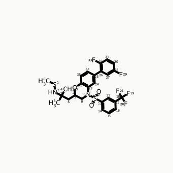 CSNC(C)(C)CC1CN(S(=O)(=O)c2cccc(C(F)(F)F)c2)c2cc(-c3cc(F)ccc3F)ccc2O1